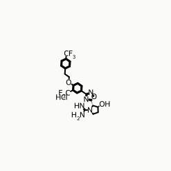 Cl.N=C(N)N1CC[C@H](O)[C@H]1c1nc(-c2ccc(OCCc3ccc(C(F)(F)F)cc3)c(C(F)(F)F)c2)no1